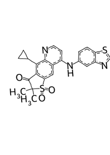 CC1(C)C(=O)c2c(cc3c(Nc4ccc5scnc5c4)ccnc3c2C2CC2)S1(=O)=O